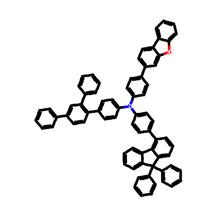 c1ccc(-c2ccc(-c3ccc(N(c4ccc(-c5ccc6c(c5)oc5ccccc56)cc4)c4ccc(-c5cccc6c5-c5ccccc5C6(c5ccccc5)c5ccccc5)cc4)cc3)c(-c3ccccc3)c2)cc1